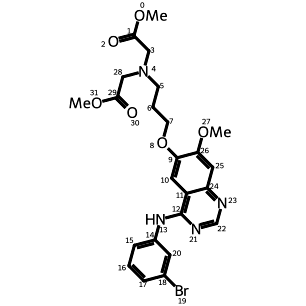 COC(=O)CN(CCCOc1cc2c(Nc3cccc(Br)c3)ncnc2cc1OC)CC(=O)OC